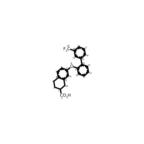 O=C(O)C1CCc2ccc(Oc3ccccc3-c3cccc(C(F)(F)F)c3)cc2C1